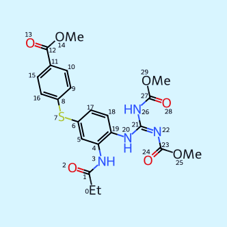 CCC(=O)Nc1cc(Sc2ccc(C(=O)OC)cc2)ccc1NC(=NC(=O)OC)NC(=O)OC